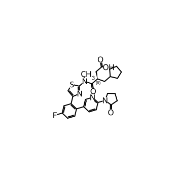 CN(C(=O)[C@@H](CC(=O)O)CC1CCCC1)c1nc(-c2cc(F)ccc2-c2ccc(N3CCCC3=O)nc2)cs1